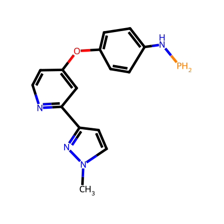 Cn1ccc(-c2cc(Oc3ccc(NP)cc3)ccn2)n1